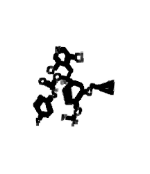 O=C(O[C@@H](Cc1c(Cl)cncc1Cl)c1ccc(OC(F)F)c(OCC2CC2)c1)Sc1ccc(F)cc1